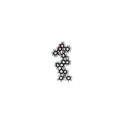 c1ccc(B(c2ccccc2)c2cccc3c(-c4cc5c6cccc7c6c(cc5c5ccccc45)-c4ccc(N(c5ccccc5-c5ccccc5)c5cccc6c5oc5ccccc56)cc4O7)cccc23)cc1